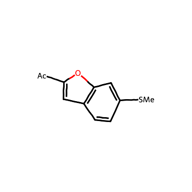 CSc1ccc2cc(C(C)=O)oc2c1